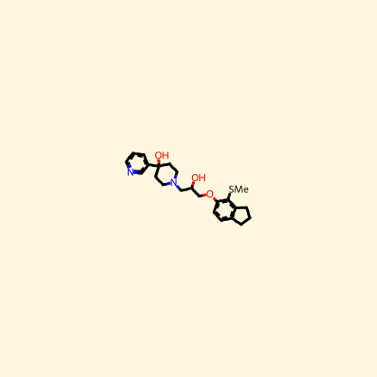 CSc1c(OCC(O)CN2CCC(O)(c3cccnc3)CC2)ccc2c1CCC2